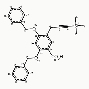 C[Si](C)(C)C#CCc1cc(C(=O)O)c(OCc2ccccc2)cc1OCc1ccccc1